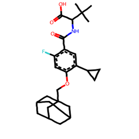 CC(C)(C)C(NC(=O)c1cc(C2CC2)c(OCC23CC4CC(CC(C4)C2)C3)cc1F)C(=O)O